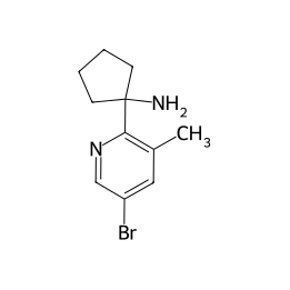 Cc1cc(Br)cnc1C1(N)CCCC1